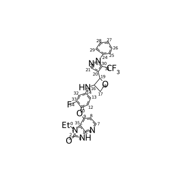 CCn1c(=O)[nH]c2nccc(Oc3ccc(NC4COC4c4cnn(-c5ccccc5)c4C(F)(F)F)cc3F)c21